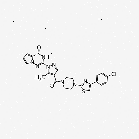 Cc1c(C(=O)N2CCN(c3nc(-c4ccc(Cl)cc4)cs3)CC2)cnn1-c1nn2cccc2c(=O)[nH]1